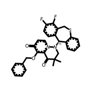 CC1(C)CN([C@@H]2c3ccccc3SCc3c2ccc(F)c3F)n2ccc(=O)c(OCc3ccccc3)c2C1=O